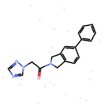 O=C(Cn1cncn1)N1Cc2ccc(-c3ccccc3)cc2C1